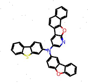 c1ccc2c(c1)ccc1c3cc(N(c4ccc5c(c4)sc4ccccc45)c4ccc5oc6ccccc6c5c4)cnc3oc21